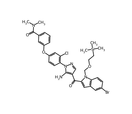 CN(C)C(=O)c1cccc(Oc2ccc(-n3ncc(C(=O)c4cc5cc(Br)ccc5n4COCC[Si](C)(C)C)c3N)c(Cl)c2)c1